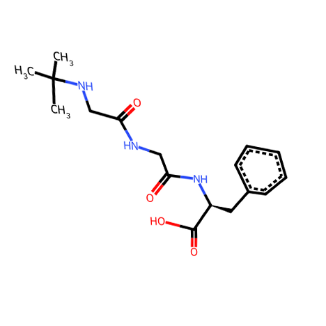 CC(C)(C)NCC(=O)NCC(=O)N[C@@H](Cc1ccccc1)C(=O)O